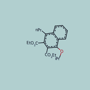 CCCc1c(C(=O)OCC)c(C(=O)OCC)c(OC(C)C)c2ccccc12